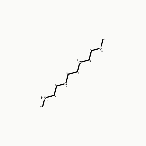 CNCCOCCOCCSC